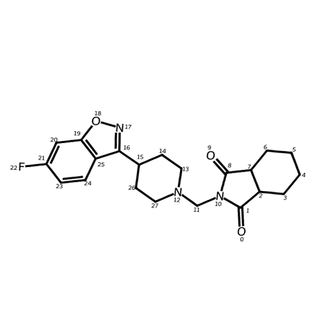 O=C1C2CCCCC2C(=O)N1CN1CCC(c2noc3cc(F)ccc23)CC1